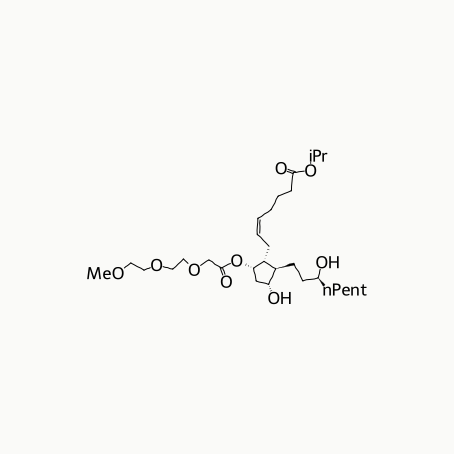 CCCCC[C@H](O)CC[C@@H]1[C@@H](C/C=C\CCCC(=O)OC(C)C)[C@@H](OC(=O)COCCOCCOC)C[C@H]1O